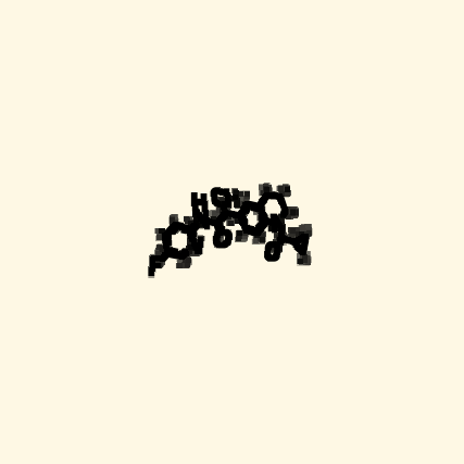 C[C@H](C(=O)Nc1ccc(F)cn1)c1ccc2c(c1)CCCN2C(=O)C1CC1